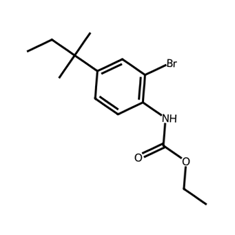 CCOC(=O)Nc1ccc(C(C)(C)CC)cc1Br